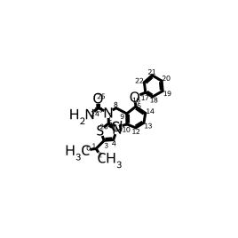 CC(C)c1cnc(N(Cc2c(Cl)cccc2Oc2ccccc2)C(N)=O)s1